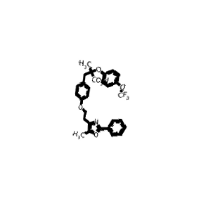 Cc1oc(-c2ccccc2)nc1CCOc1ccc(CC(C)(Oc2ccc(OC(F)(F)F)cc2)C(=O)O)cc1